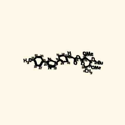 CCCCO[C@@H]1[C@@H](OC)[C@H](C)O[C@@H](OC(=O)Nc2ccc(-n3cnc(-c4ccc(C)cc4)n3)cc2)[C@@H]1OC